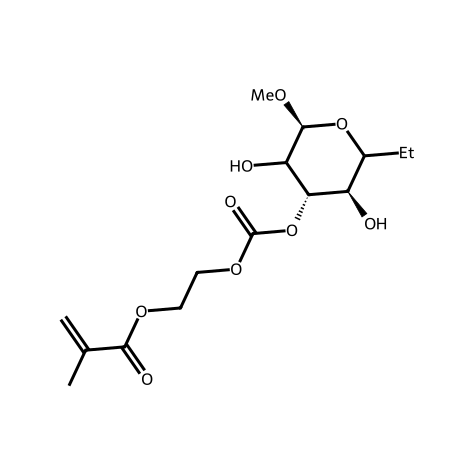 C=C(C)C(=O)OCCOC(=O)O[C@@H]1C(O)[C@@H](OC)OC(CC)[C@H]1O